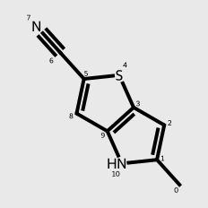 Cc1cc2sc(C#N)cc2[nH]1